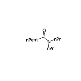 CCCCCC(=O)N(CCC)CCC